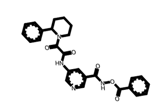 O=C(Nc1cncc(C(=O)NOC(=O)c2ccccc2)c1)C(=O)N1CCCCC1c1ccccc1